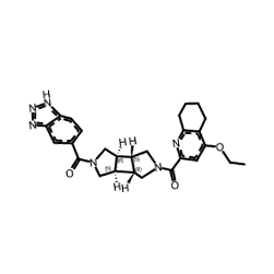 CCOc1cc(C(=O)N2C[C@@H]3[C@H]4CN(C(=O)c5ccc6[nH]nnc6c5)C[C@H]4[C@@H]3C2)nc2c1CCCC2